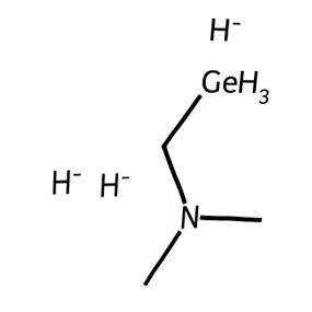 CN(C)[CH2][GeH3].[H-].[H-].[H-]